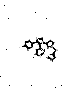 Fc1ccc(-c2ncn(C3CCN(Cc4cncs4)C3)c2-c2ccncn2)cc1